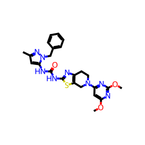 COc1cc(N2CCc3nc(NC(=O)Nc4cc(C)nn4Cc4ccccc4)sc3C2)nc(OC)n1